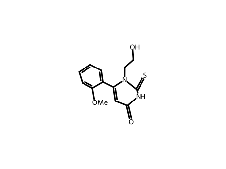 COc1ccccc1-c1cc(=O)[nH]c(=S)n1CCO